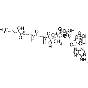 CCCCC(O)C(=O)SCCNC(=O)CCNC(=O)[C@H](O)C(C)(C)COP(=O)(O)OP(=O)(O)OC[C@H]1O[C@@H](n2cnc3c(N)ncnc32)[C@H](O)[C@@H]1OP(=O)(O)O